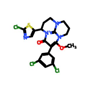 COc1c(-c2cc(Cl)cc(Cl)c2)c(=O)[n+]2c3n1CCCN3CCC2c1cnc(Cl)s1